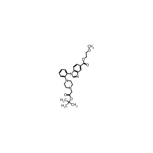 COCCOC(=O)c1ccc2c(c1)ncn2-c1ccccc1N1CCN(CC(=O)OC(C)(C)C)CC1